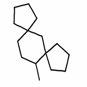 CC1CCC2(CCCC2)CC12CCCC2